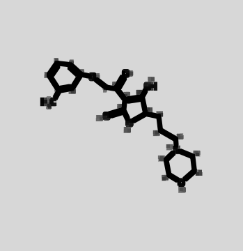 Cc1cccc(OCC(=O)C2=C(O)C(CCCN3CCOCC3)OC2=O)c1